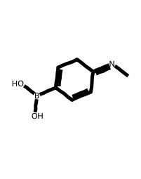 CN=C1C=CC(B(O)O)=CC1